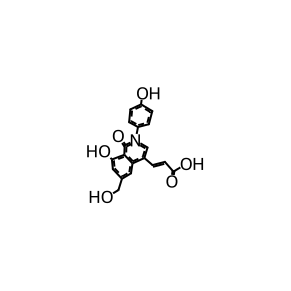 O=C(O)/C=C/c1cn(-c2ccc(O)cc2)c(=O)c2c(O)cc(CO)cc12